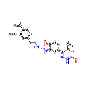 COc1ccc(CCNc2nc3cc(C4=NNC(=O)CC4C)ccc3o2)cc1OC